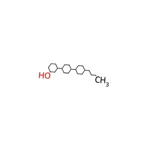 CCCCC1CCC(C2CCC(C3CCCC(O)C3)CC2)CC1